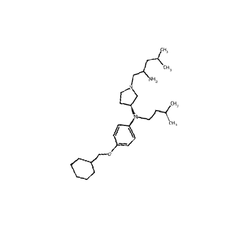 CC(C)CCN(c1ccc(OCC2CCCCC2)cc1)[C@H]1CCN(CC(N)CC(C)C)C1